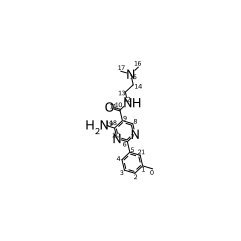 Cc1cccc(-c2ncc(C(=O)NCCN(C)C)c(N)n2)c1